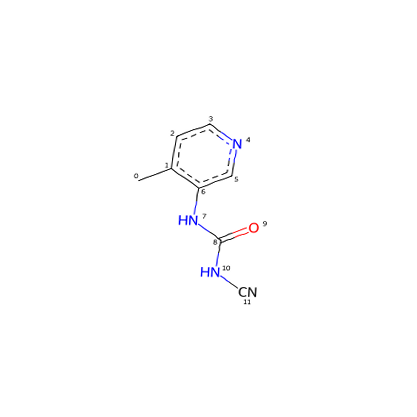 Cc1ccncc1NC(=O)NC#N